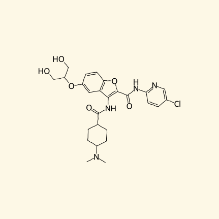 CN(C)C1CCC(C(=O)Nc2c(C(=O)Nc3ccc(Cl)cn3)oc3ccc(OC(CO)CO)cc23)CC1